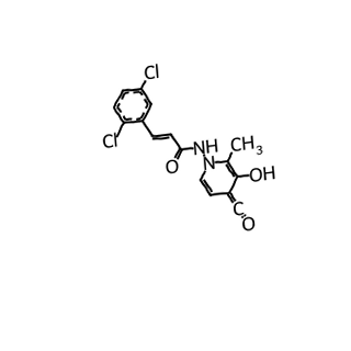 CC1=C(O)C(=C=O)C=CN1NC(=O)/C=C/c1cc(Cl)ccc1Cl